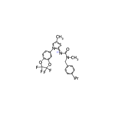 Cc1cn(-c2ccc3c(c2)OC(F)(F)C(F)(F)O3)/c(=N/C(=O)N(C)Cc2ccc(C(C)C)cc2)s1